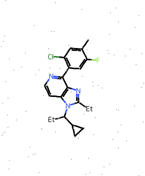 CCc1nc2c(-c3cc(F)c(C)cc3Cl)nccc2n1C(CC)C1CC1